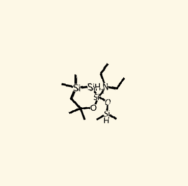 CCN(CC)[Si]1(O[SiH](C)C)OC(C)(C)C[Si](C)(C)[SiH2]1